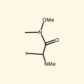 CNC(I)C(=O)N(C)OC